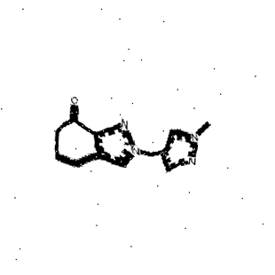 Cn1cc(-n2cc3c(n2)C(=O)CCC3)cn1